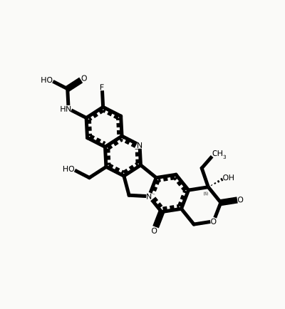 CC[C@@]1(O)C(=O)OCc2c1cc1n(c2=O)Cc2c-1nc1cc(F)c(NC(=O)O)cc1c2CO